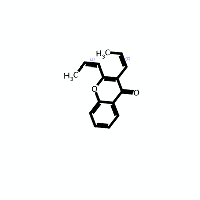 C/C=C\c1oc2ccccc2c(=O)c1/C=C\C